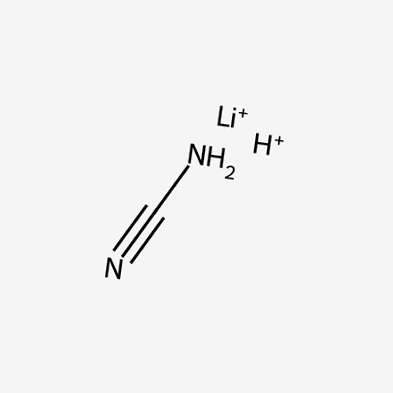 N#CN.[H+].[Li+]